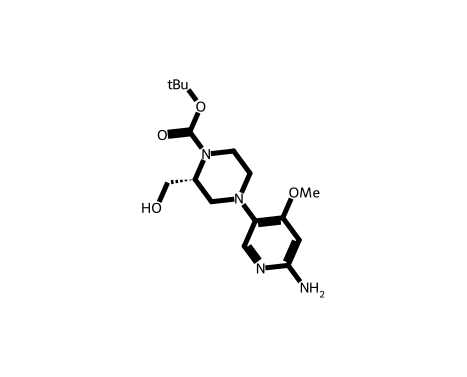 COc1cc(N)ncc1N1CCN(C(=O)OC(C)(C)C)[C@@H](CO)C1